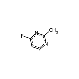 Cc1n[c]cc(F)n1